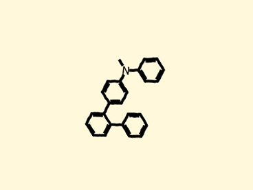 CN(c1ccccc1)c1ccc(-c2ccccc2-c2ccccc2)cc1